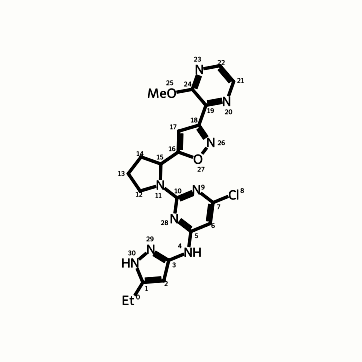 CCc1cc(Nc2cc(Cl)nc(N3CCCC3c3cc(-c4nccnc4OC)no3)n2)n[nH]1